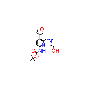 CN(CCO)Cc1nc(NC(=O)OC(C)(C)C)ccc1C1CCOC1